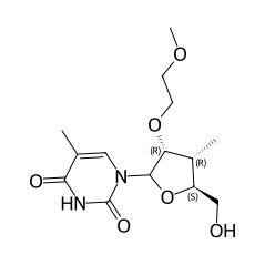 COCCO[C@H]1C(n2cc(C)c(=O)[nH]c2=O)O[C@H](CO)[C@H]1C